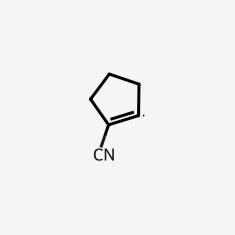 N#CC1=[C]CCC1